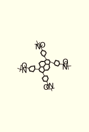 CC1(C)COC(c2ccc(-c3cc(-c4ccc(C5=NC(C)(C)CO5)cc4)c4ccc5c(-c6ccc(C7=NC(C)(C)CO7)cc6)cc(-c6ccc(C7=NC(C)(C)CO7)cc6)c6ccc3c4c65)cc2)=N1